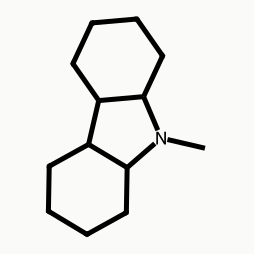 CN1C2CCCCC2C2CCCCC21